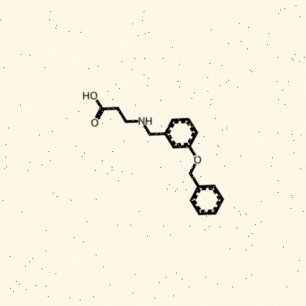 O=C(O)CCNCc1cccc(OCc2ccccc2)c1